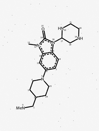 CNCC1CCN(c2ccc3c(c2)n(C)c(=O)n3C2CNCCN2)CC1